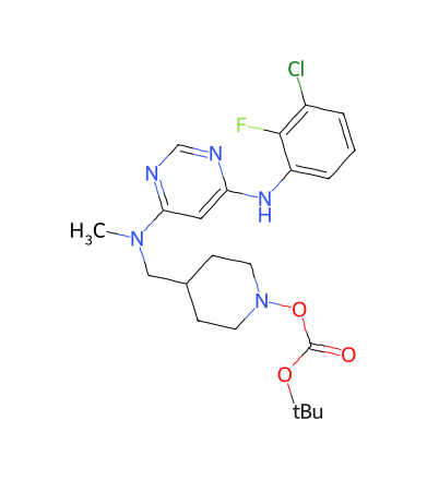 CN(CC1CCN(OC(=O)OC(C)(C)C)CC1)c1cc(Nc2cccc(Cl)c2F)ncn1